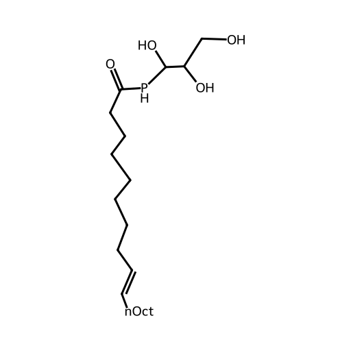 CCCCCCCCC=CCCCCCCCC(=O)PC(O)C(O)CO